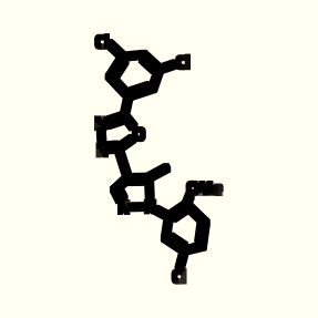 COc1ccc(Cl)cc1-n1ncc(-c2nnc(-c3cc(Cl)cc(Cl)c3)o2)c1C